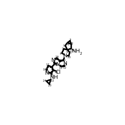 N[C@@H]1C2CC2CC12CCN(c1nccn3c(-c4ccnc(NC5CC5)c4Cl)ncc13)CC2